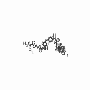 C=C(C)C(=O)OCCOC(=O)Nc1ccc(Cc2ccc(NC(=O)OCCN(C)S(=O)(=O)C(F)(F)C(F)(F)C(F)(F)C(F)(F)F)cc2)cc1